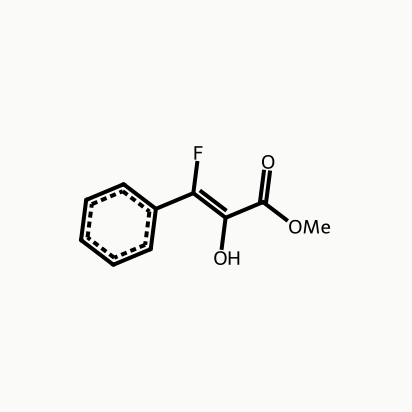 COC(=O)C(O)=C(F)c1ccccc1